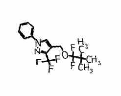 CC(C)(C)C(F)(F)OCc1cn(-c2ccccc2)nc1C(F)(F)F